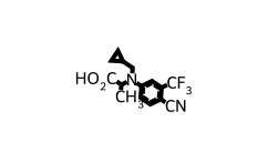 CC(C(=O)O)N(CC1CC1)c1ccc(C#N)c(C(F)(F)F)c1